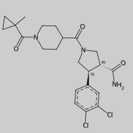 CC1(C(=O)N2CCC(C(=O)N3C[C@H](C(N)=O)[C@@H](c4ccc(Cl)c(Cl)c4)C3)CC2)CC1